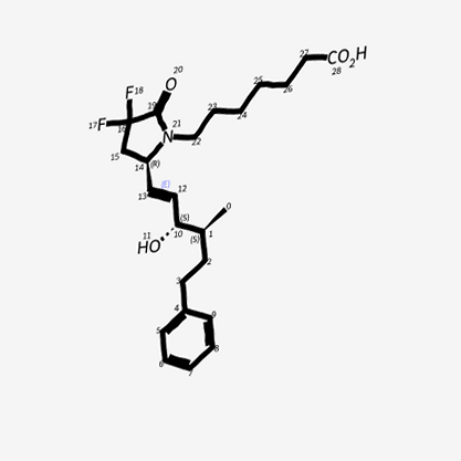 C[C@@H](CCc1ccccc1)[C@H](O)/C=C/[C@H]1CC(F)(F)C(=O)N1CCCCCCC(=O)O